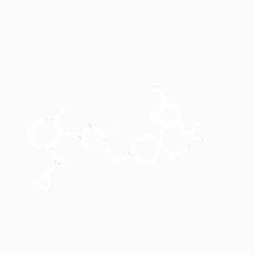 Cc1nn(-c2c(F)cccc2NC2CC2)cc1CN1CCC2(CC1)OCC(F)(F)c1cc(Cl)sc12